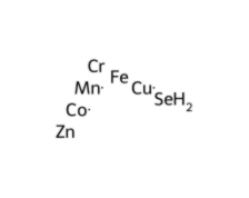 [Co].[Cr].[Cu].[Fe].[Mn].[SeH2].[Zn]